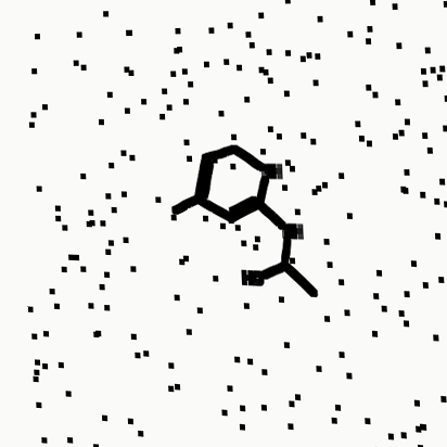 CC1=CCNC(NC(C)O)=C1